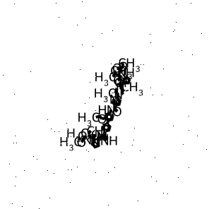 CCOc1cc(NC(=O)c2ccc(N3CCN(C(=O)[C@@]4(C)CCCN4C(=O)[C@@H](NC(=O)OC)C(C)C)C[C@H]3C)nc2)ccc1-c1ccc(-c2c[nH]c([C@@H]3CCCN3C(=O)[C@@H](NC(=O)OC)C(C)C)n2)cc1